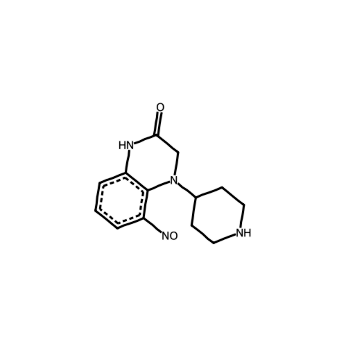 O=Nc1cccc2c1N(C1CCNCC1)CC(=O)N2